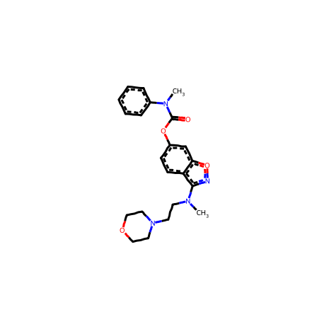 CN(CCN1CCOCC1)c1noc2cc(OC(=O)N(C)c3ccccc3)ccc12